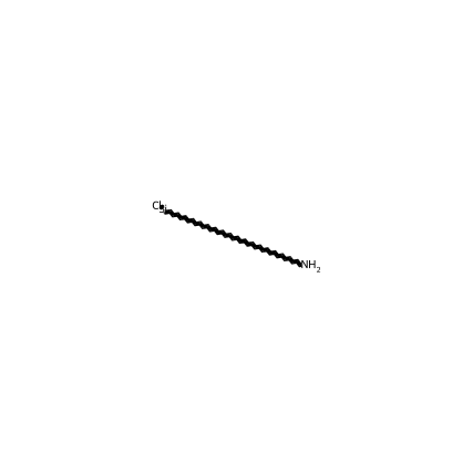 C[Si](C)(Cl)CCCCCCCCCCCCCCCCCCCCCCCCCCCCCCCCCCCCCN